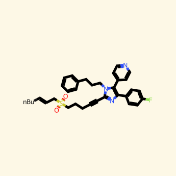 CCCCC=CCS(=O)(=O)CCCC#Cc1nc(-c2ccc(F)cc2)c(-c2ccncc2)n1CCCc1ccccc1